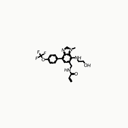 C=CC(=O)NCc1cc(-c2ccc(OC(F)(F)F)cc2)c2ncn(C)c2c1NCCO